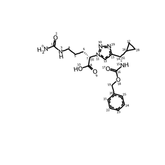 NC(=O)NCCC[C@@H](C(=O)O)n1cc([C@@H](NC(=O)OCc2ccccc2)C2CC2)nn1